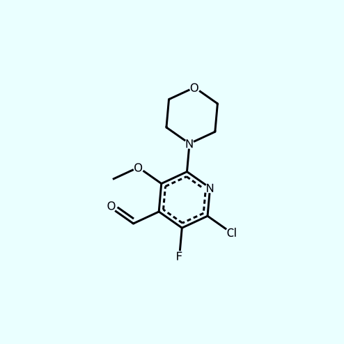 COc1c(N2CCOCC2)nc(Cl)c(F)c1C=O